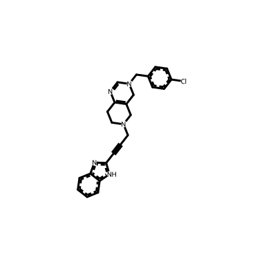 Clc1ccc(CN2C=NC3=C(C2)CN(CC#Cc2nc4ccccc4[nH]2)CC3)cc1